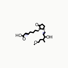 COCCC(C)C(O)/C=C/[C@H]1CCC(=O)[C@@H]1CCCC/C=C/C(=O)O